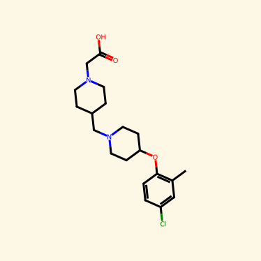 Cc1cc(Cl)ccc1OC1CCN(CC2CCN(CC(=O)O)CC2)CC1